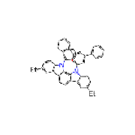 CCc1ccc2c(c1)c1ccc3c4cc(CC)ccc4n(-c4cc(-c5ccccc5)cc(-c5ccccc5)c4)c3c1n2-c1ccccc1